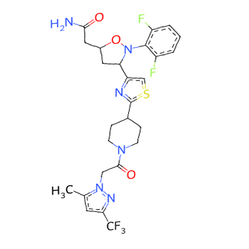 Cc1cc(C(F)(F)F)nn1CC(=O)N1CCC(c2nc(C3CC(CC(N)=O)ON3c3c(F)cccc3F)cs2)CC1